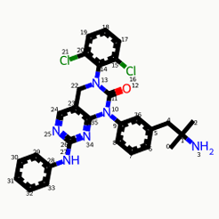 CC(C)(N)Cc1cccc(N2C(=O)N(c3c(Cl)cccc3Cl)Cc3cnc(Nc4ccccc4)nc32)c1